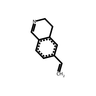 C=Cc1ccc2c(c1)CCN=C2